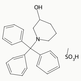 CS(=O)(=O)O.OC1CCCN(C(c2ccccc2)(c2ccccc2)c2ccccc2)C1